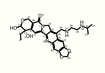 CC[C@]1(O)c2cc3n(c(=O)c2COC1O)Cc1c-3nc2cc3c(cc2c1CNCCNC(C)C)OCO3